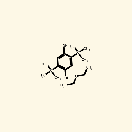 CCOCC.C[Si](C)(C)c1cc(O)c([Si](C)(C)C)cc1O